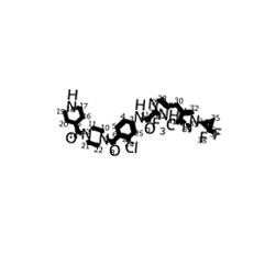 O=C(Nc1ccc(C(=O)N2CCN(C(=O)C3CCNCC3)CC2)c(Cl)c1)c1ncc(Cc2cn([C@H]3CC3(F)F)nc2C(F)(F)F)[nH]1